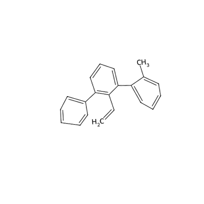 C=Cc1c(-c2ccccc2)cccc1-c1ccccc1C